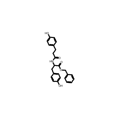 O=C(CCc1ccc(O)cc1)NC(Cc1ccc(O)cc1)C(=O)OCc1ccccc1